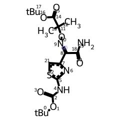 CC(C)(C)OC(=O)Nc1nc(/C(=N/OC(C)(C)C(=O)OC(C)(C)C)C(N)=O)cs1